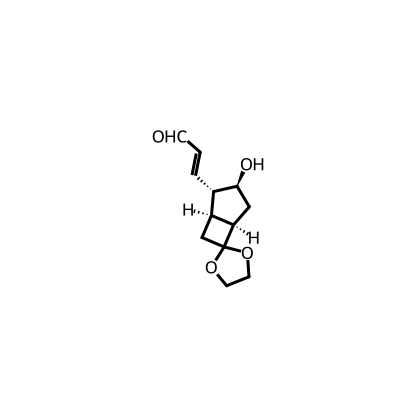 O=C/C=C/[C@H]1[C@@H]2CC3(OCCO3)[C@@H]2C[C@@H]1O